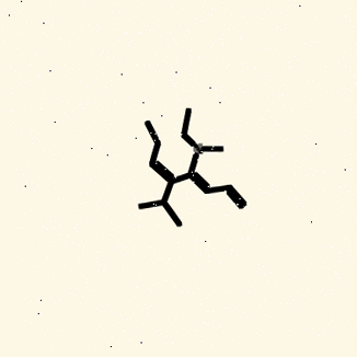 C=C/C=C(/C(=C\CC)C(C)C)N(C)CC